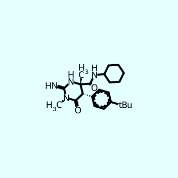 CN1C(=N)N[C@](C)(C(=O)NC2CCCCC2)[C@H](c2ccc(C(C)(C)C)cc2)C1=O